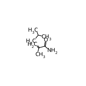 C=C(C)C(N)=O.CC(C)C